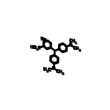 CN(C)c1ccc(C(c2ccc(N(C)C)cc2)c2cccc(S(=O)(=O)O)c2)cc1.[Na]